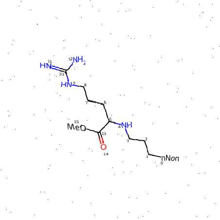 CCCCCCCCCCCCNC(CCCNC(=N)N)C(=O)OC